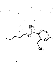 CCCCCOB(N)c1ccc(Cl)cc1CO